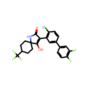 O=C1NC2(CCC(C(F)(F)F)CC2)C(O)=C1c1cc(-c2ccc(F)c(F)c2)ccc1Cl